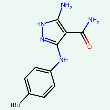 CC(C)(C)c1ccc(Nc2n[nH]c(N)c2C(N)=O)cc1